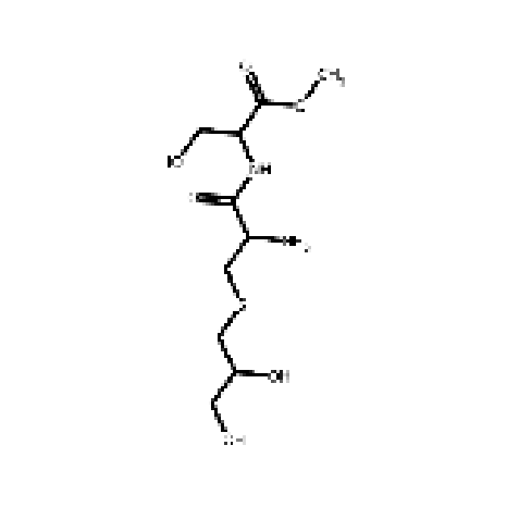 COC(=O)C(CO)NC(=O)C(N)CSCC(O)CO